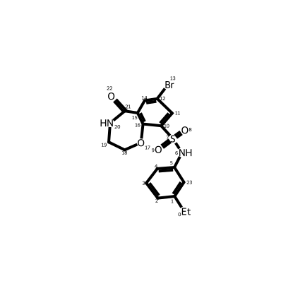 CCc1cccc(NS(=O)(=O)c2cc(Br)cc3c2OCCNC3=O)c1